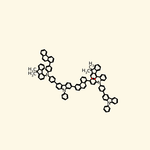 CC1(C)c2ccccc2-c2c(-c3ccccc3N(c3ccc(-c4ccc5c(c4)c4ccccc4n5-c4ccccc4)cc3)c3ccc(-c4cccc5c4ccc4ccc(-c6ccc7c8cc(-c9ccc(N(c%10ccc(-c%11cccc%12c%11ccc%11ccccc%11%12)cc%10)c%10cccc%11c%10-c%10ccccc%10C%11(C)C)cc9)ccc8n(-c8ccccc8)c7c6)cc45)cc3)cccc21